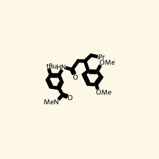 CNC(=O)c1ccc(C(C)(C)C)c(NC(=O)CC(CC(C)C)c2ccc(OC)cc2OC)c1